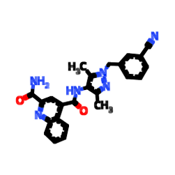 Cc1nn(Cc2cccc(C#N)c2)c(C)c1NC(=O)c1cc(C(N)=O)nc2ccccc12